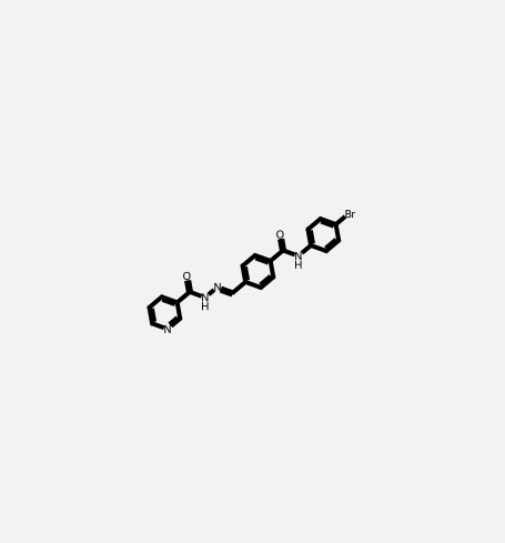 O=C(NN=Cc1ccc(C(=O)Nc2ccc(Br)cc2)cc1)c1cccnc1